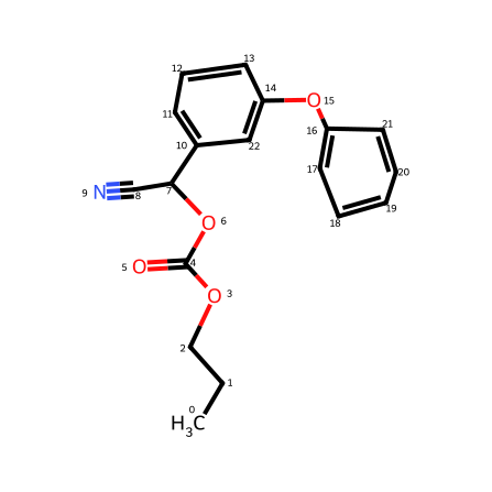 CCCOC(=O)OC(C#N)c1cccc(Oc2ccccc2)c1